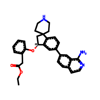 CCOC(=O)Cc1ccccc1O[C@@H]1CC2(CCNCC2)c2ccc(-c3ccc4ccnc(N)c4c3)cc21